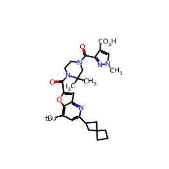 Cn1cc(C(=O)O)c(C(=O)N2CCN(C(=O)c3cc4nc(C5CC6(CCC6)C5)cc(C(C)(C)C)c4o3)C(C)(C)C2)n1